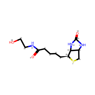 O=C(CCCC[C@@H]1SCC2NC(=O)NC21)NCCO